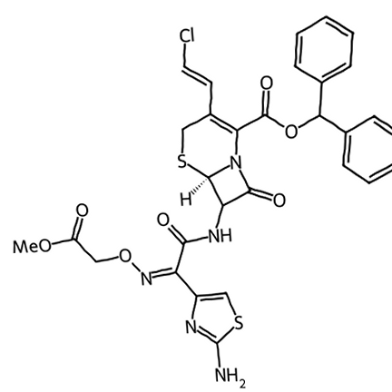 COC(=O)CO/N=C(\C(=O)NC1C(=O)N2C(C(=O)OC(c3ccccc3)c3ccccc3)=C(/C=C/Cl)CS[C@H]12)c1csc(N)n1